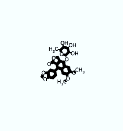 COc1cc2c(O[C@@H]3O[C@H](C)[C@@H](O)[C@H](O)[C@H]3O)c3c(c(-c4ccc5c(c4)OCO5)c2cc1OC)C(=O)OC3